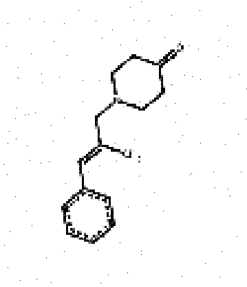 C/C(=C\c1ccccc1)CN1CCC(=O)CC1